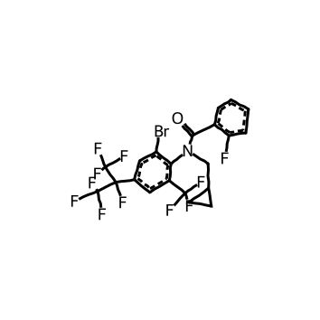 O=C(c1ccccc1F)N(CC1CC1)c1c(Br)cc(C(F)(C(F)(F)F)C(F)(F)F)cc1C(F)(F)F